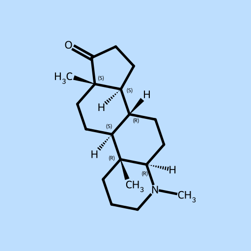 CN1CCC[C@]2(C)[C@H]3CC[C@]4(C)C(=O)CC[C@H]4[C@@H]3CC[C@@H]12